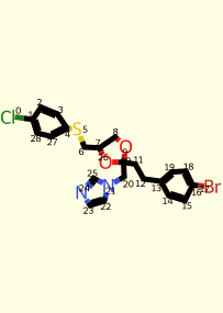 Clc1ccc(SCC2COC(CCc3ccc(Br)cc3)(Cn3ccnc3)O2)cc1